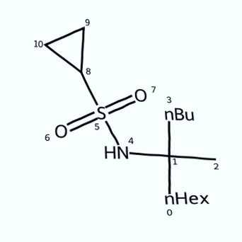 CCCCCCC(C)(CCCC)NS(=O)(=O)C1CC1